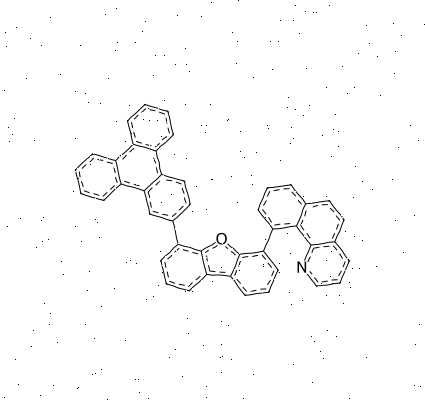 c1cnc2c(c1)ccc1cccc(-c3cccc4c3oc3c(-c5ccc6c7ccccc7c7ccccc7c6c5)cccc34)c12